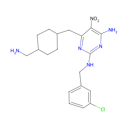 NCC1CCC(Cc2nc(NCc3cccc(Cl)c3)nc(N)c2[N+](=O)[O-])CC1